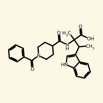 CC(c1c[nH]c2ccccc12)C(C)(NC(=O)C1CCN(C(=O)c2ccccc2)CC1)C(=O)O